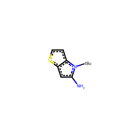 CC(C)(C)n1c(N)cc2sccc21